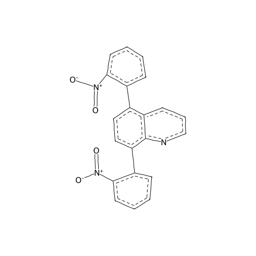 O=[N+]([O-])c1ccccc1-c1ccc(-c2ccccc2[N+](=O)[O-])c2ncccc12